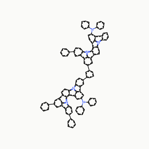 c1ccc(-c2ccc3c(c2)c2cc(-c4ccccc4)cc4c5ccc6c(c7cc(N(c8ccccc8)c8ccccc8)cc8c9cc(-c%10cccc(-c%11cc%12c%13cc(-c%14ccccc%14)ccc%13n%13c%12c(c%11)c%11ccc%12c(c%14ccc(N(c%15ccccc%15)c%15ccccc%15)c%15c%16ccccc%16n%12c%14%15)c%11%13)c%10)ccc9n6c87)c5n3c24)cc1